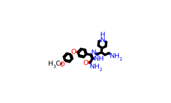 COc1ccc(Oc2ccc(-c3nc(C(CCN)C4CCNCC4)[nH]c3C(N)=O)cc2)cc1